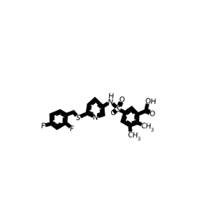 Cc1cc(S(=O)(=O)Nc2ccc(SCc3ccc(F)cc3F)nc2)cc(C(=O)O)c1C